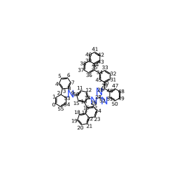 C1=CC2c3ccccc3N(c3ccc4c(c3)c3c5ccccc5ccc3n4-c3nc(-c4cccc(-c5cccc6ccccc56)c4)c4ccccc4n3)C2C=C1